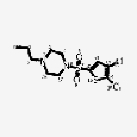 CCCN1CCN(S(=O)(=O)c2cc(Cl)c(Cl)s2)CC1